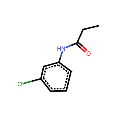 CCC(=O)Nc1[c]ccc(Cl)c1